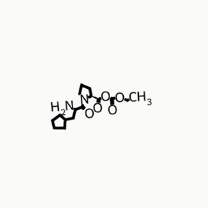 CCOC(=O)OC(=O)[C@@H]1CCCN1C(=O)[C@H](N)CC1CCCC1